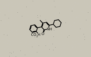 Cc1cc(C2CCCCC2)[nH]c(=O)c1-c1ccccc1C(=O)O